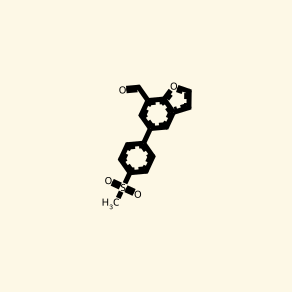 CS(=O)(=O)c1ccc(-c2cc(C=O)c3occc3c2)cc1